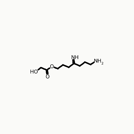 N=C(CCCN)CCCOC(=O)CO